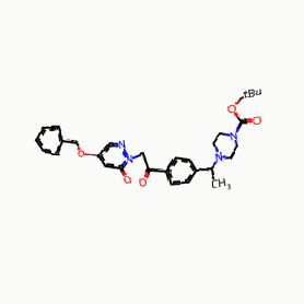 CC(c1ccc(C(=O)Cn2ncc(OCc3ccccc3)cc2=O)cc1)N1CCN(C(=O)OC(C)(C)C)CC1